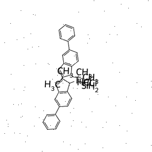 CC1=Cc2cc(-c3ccccc3)ccc2[CH]1[Ti]([CH3])([CH3])(=[SiH2])[CH]1C(C)=Cc2cc(-c3ccccc3)ccc21.Cl.Cl